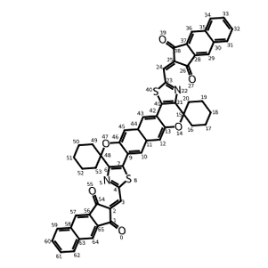 O=C1C(=Cc2nc3c(s2)C2=CC4C=C5OC6(CCCCC6)c6nc(C=C7C(=O)c8cc9ccccc9cc8C7=O)sc6C5=CC4C=C2OC32CCCCC2)C(=O)c2cc3ccccc3cc21